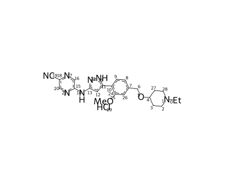 CCN1CCC(OCc2ccc(-c3cc(Nc4cnc(C#N)cn4)n[nH]3)c(OC)c2)CC1.Cl